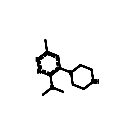 Cc1cc(N2CCNCC2)c(N(C)C)nn1